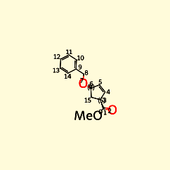 COC(=O)[C@@H]1C=C[C@H](OCc2ccccc2)C1